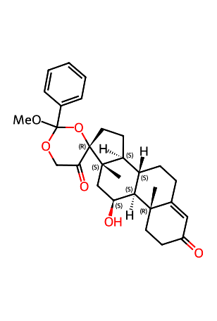 COC1(c2ccccc2)OCC(=O)[C@]2(CC[C@H]3[C@@H]4CCC5=CC(=O)CC[C@]5(C)[C@H]4[C@@H](O)C[C@@]32C)O1